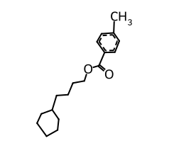 Cc1ccc(C(=O)OCCCCC2CCCCC2)cc1